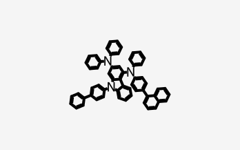 c1ccc(-c2ccc(-n3c4ccccc4c4c(N(c5ccccc5)c5ccc(-c6cccc7ccccc67)cc5)cc(N(c5ccccc5)c5ccccc5)cc43)cc2)cc1